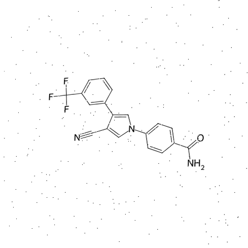 N#Cc1cn(-c2ccc(C(N)=O)cc2)cc1-c1cccc(C(F)(F)F)c1